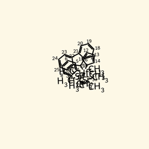 [CH2]=[Hf]([CH3])([CH3])([c]1ccccc1)([CH]1C=CC=C1)([CH]1c2ccccc2-c2ccccc21)([Si](C)(C)C)[Si](C)(C)C